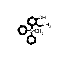 CCc1c(O)cccc1[Si](C)(c1ccccc1)c1ccccc1